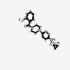 C1CC1.O=C(O)Nc1ccc(N2CCN(C(=O)c3ccccc3C(F)(F)F)CC2)nn1